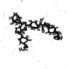 COC1CCC(n2ncc3c(N4CC5CCC(C4)O5)nc(-c4ccc(NC(=O)Nc5ccc(CO)cc5)cc4)nc32)CC1